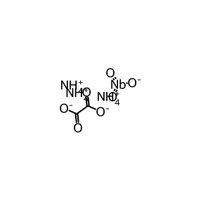 O=C([O-])C(=O)[O-].[NH4+].[NH4+].[NH4+].[O]=[Nb](=[O])[O-]